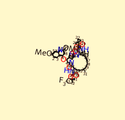 COc1ccc2c(O[C@@H]3C[C@H]4C(=O)N[C@]5(C(=O)NS(=O)(=O)C6(C)CC6)C[C@H]5/C=C\CC[C@@H](C)C[C@@H](C)[C@H](NC(=O)OC(C)(C)C(F)(F)F)C(=O)N4C3)cc(OC)nc2c1